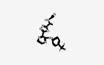 CC(NC#N)c1nnc(-c2nccnc2Nc2ccc(C(F)(F)F)cc2)o1